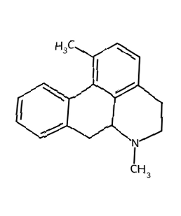 Cc1ccc2c3c1-c1ccccc1CC3N(C)CC2